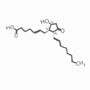 CCCCCCC=C[C@H]1C(=O)C[C@H](O)[C@@H]1CC=CCCCC(=O)O